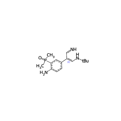 CC(C)(C)N/C=C(\C=N)c1ccc(N)c(P(C)(C)=O)c1